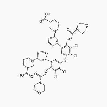 O=C(O)C1CCCN(c2cccc(-c3cc(Sc4cc(-c5cccc(N6CCCC(C(=O)O)C6)c5)c(/C=C/C(=O)N5CCOCC5)c(Cl)c4Cl)c(Cl)c(Cl)c3/C=C/C(=O)N3CCOCC3)c2)C1